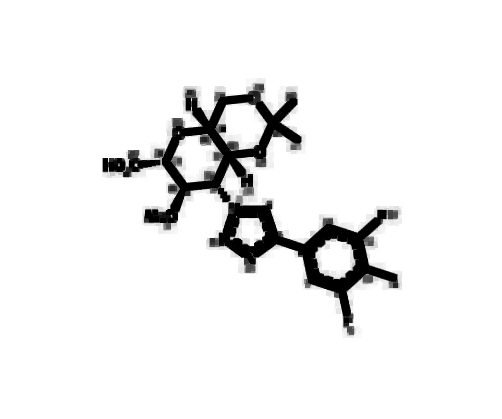 CO[C@@H]1[C@@H](n2cc(-c3cc(F)c(C)c(F)c3)nn2)[C@H]2OC(C)(C)OC[C@H]2O[C@H]1C(=O)O